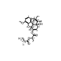 COc1ccc2c3c1O[C@H]1C(OC(=O)C(C)OC(=O)[C@H](C)N)=CC[C@@]4(O)[C@@H](C2)N(C)CC[C@]314